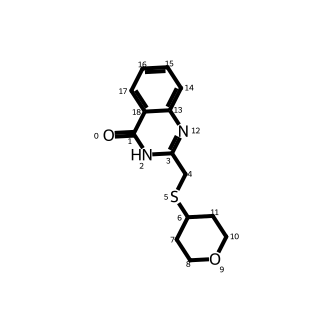 O=c1[nH]c(CSC2CCOCC2)nc2ccccc12